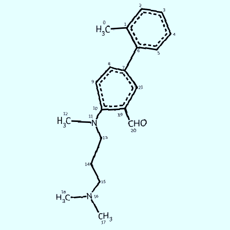 Cc1ccccc1-c1ccc(N(C)CCCN(C)C)c(C=O)c1